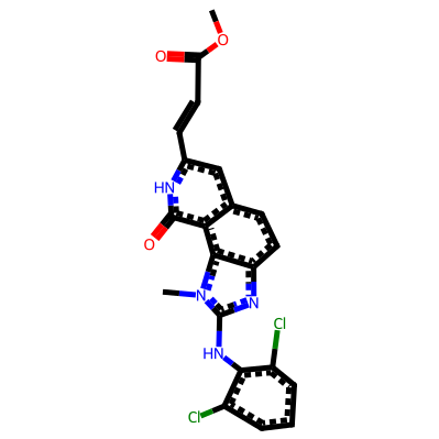 COC(=O)C=Cc1cc2ccc3nc(Nc4c(Cl)cccc4Cl)n(C)c3c2c(=O)[nH]1